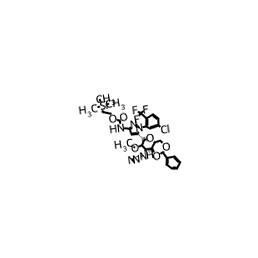 COC1C(N=[N+]=[N-])[C@H]2OC(c3ccccc3)OCC2O[C@H]1c1cc(NC(=O)OCC[Si](C)(C)C)nn1-c1cc(Cl)ccc1C(F)(F)F